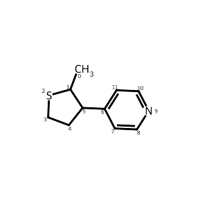 CC1SCCC1c1ccncc1